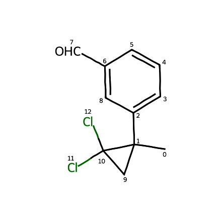 CC1(c2cccc(C=O)c2)CC1(Cl)Cl